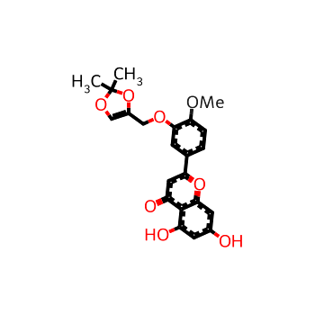 COc1ccc(-c2cc(=O)c3c(O)cc(O)cc3o2)cc1OCC1=COC(C)(C)O1